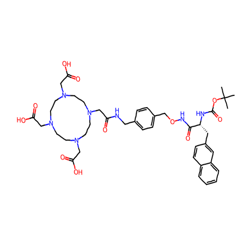 CC(C)(C)OC(=O)N[C@H](Cc1ccc2ccccc2c1)C(=O)NOCc1ccc(CNC(=O)CN2CCN(CC(=O)O)CCN(CC(=O)O)CCN(CC(=O)O)CC2)cc1